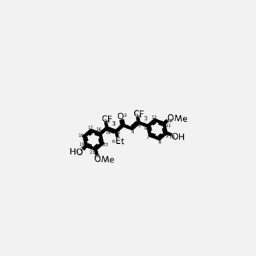 CC/C(C(=O)/C=C(/c1ccc(O)c(OC)c1)C(F)(F)F)=C(\c1ccc(O)c(OC)c1)C(F)(F)F